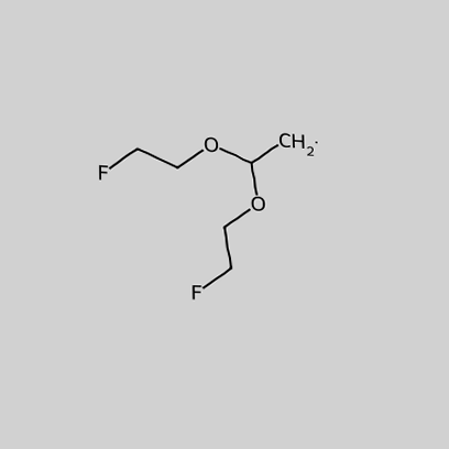 [CH2]C(OCCF)OCCF